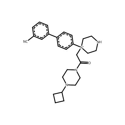 N#Cc1cccc(-c2ccc([N+]3(CC(=O)N4CCN(C5CCC5)CC4)CCNCC3)cc2)c1